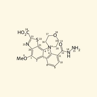 COc1ccc([N+]2(c3ccccc3C(=O)NN)CCOCC2)c2sc(C(=O)O)nc12